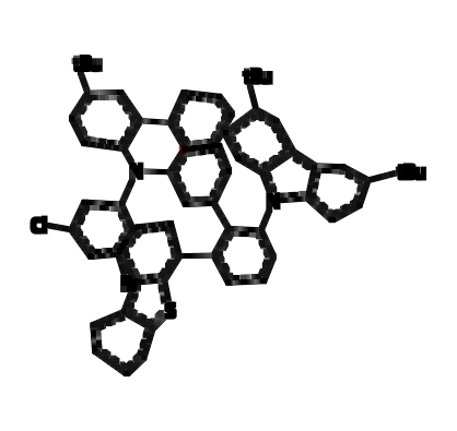 CC(C)(C)c1ccc(N(c2cc(Cl)cc(Br)c2)c2cccc(-c3c(-c4cccc5c4sc4ccccc45)cccc3-n3c4ccc(C(C)(C)C)cc4c4cc(C(C)(C)C)ccc43)c2)c(-c2ccccc2)c1